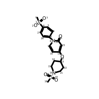 CS(=O)(=O)c1ccc(-n2ccc(OC3CCN(S(C)(=O)=O)CC3)cc2=O)cc1